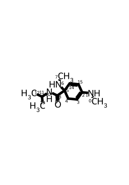 CNC1=CCC(NC)(C(=O)NC(C)C)C=C1